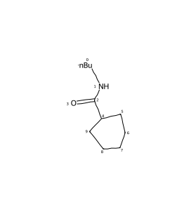 CCC[CH]NC(=O)C1CCCCC1